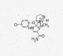 C[C@H]1[C@H](C2(Oc3ccc(Cl)cc3)NC=C(C(N)=O)S2)C2CCN1CC2